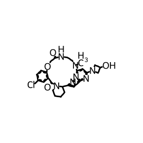 CN1CCNC(=O)COc2ccc(Cl)cc2C(=O)N2CCCCC2c2cc3nc(N4CC(O)C4)cc1n3n2